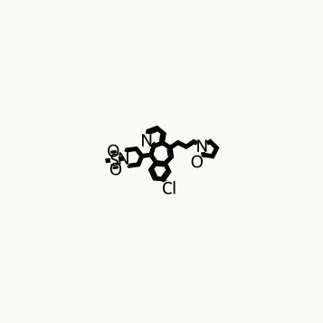 CS(=O)(=O)N1CCC(C2c3ccc(Cl)cc3C=C(CCCN3CCCC3=O)c3cccnc32)CC1